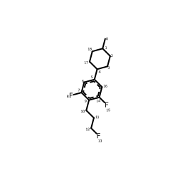 CC1CCC(c2cc(F)c(CCCF)c(F)c2)CC1